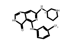 O=c1[nH]cnc2cc(N[C@@H]3CCCNC3)nc(Nc3cccc(C(F)(F)F)c3)c12